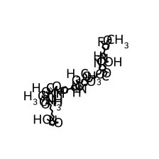 COc1ccc(C2=CN3C(O)c4cc(OC)c(OCCCOc5cc6c(cc5OC)C(=O)N5C=C(c7ccc(NC(=O)[C@H](C)NC(=O)[C@@H](NC(=O)CCCCCN8C(=O)C=CC8O)C(C)C)cc7)C[C@H]5C=N6)cc4N=C[C@@H]3C2)cc1F